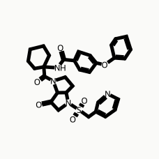 O=C(NC1(C(=O)N2CCC3C2C(=O)CN3S(=O)(=O)Cc2cccnc2)CCCCC1)c1ccc(Oc2ccccc2)cc1